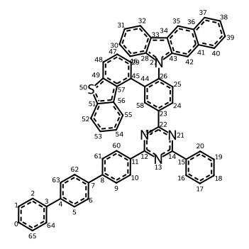 c1ccc(-c2ccc(-c3ccc(-c4nc(-c5ccccc5)nc(-c5ccc(-n6c7ccccc7c7cc8ccccc8cc76)c(-c6cccc7sc8ccccc8c67)c5)n4)cc3)cc2)cc1